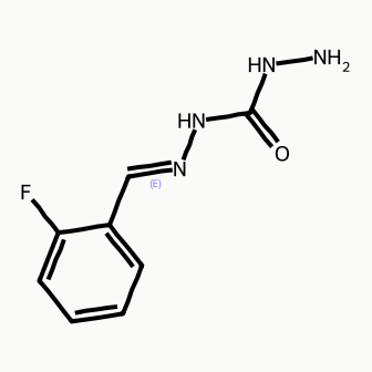 NNC(=O)N/N=C/c1ccccc1F